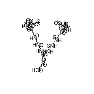 CC(=O)N[C@H]1[C@H](OCCCCC(=O)NCCCNC(=O)CCNc2nc(NCCC(=O)NCCCNC(=O)CCCCO[C@@H]3O[C@H](COC(C)=O)[C@H](OC(C)=O)[C@H](OC(C)=O)[C@H]3NC(C)=O)nc(N3CCN(C(=O)CCCC(=O)O)CC3)n2)O[C@H](COC(C)=O)[C@H](OC(C)=O)[C@@H]1OC(C)=O